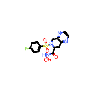 O=C(NO)C1Cc2nccnc2CN1S(=O)(=O)c1ccc(F)cc1